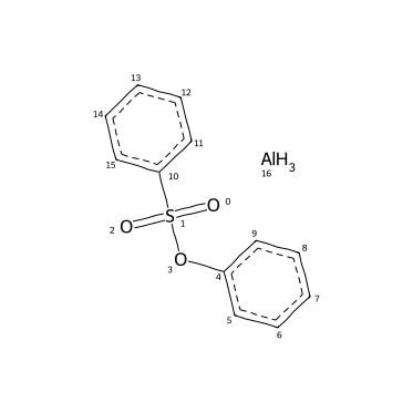 O=S(=O)(Oc1ccccc1)c1ccccc1.[AlH3]